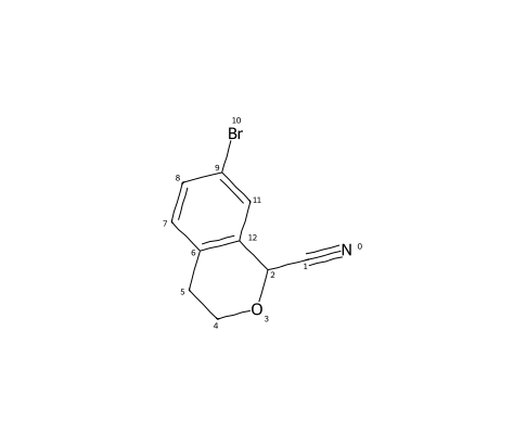 N#CC1OCCc2ccc(Br)cc21